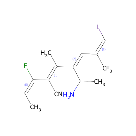 C\C=C(F)/C(C#N)=C(C)/C(=C/C(=C\I)C(F)(F)F)C(C)N